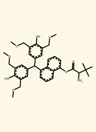 COCc1cc(C(c2cc(COC)c(O)c(COC)c2)c2cccc3c(OC(=O)C(P)C(C)(C)C)cccc23)cc(COC)c1O